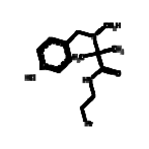 CC(C)CCNC(=O)C(C)(C)N(Cc1ccncc1)C(=O)O.Cl